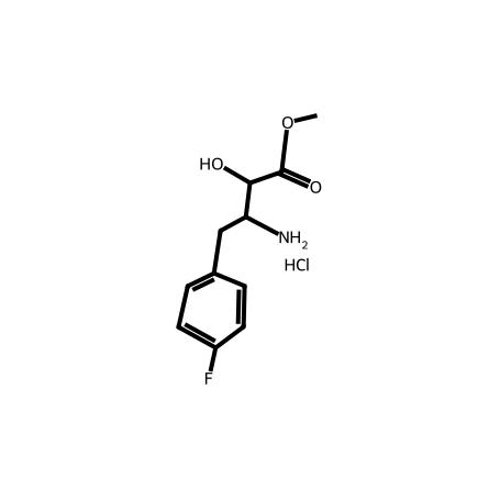 COC(=O)C(O)C(N)Cc1ccc(F)cc1.Cl